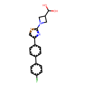 OC(O)C1CN(c2nc(-c3ccc(-c4ccc(F)cc4)cc3)cs2)C1